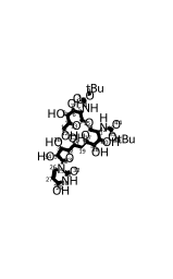 CC(C)(C)OC(=O)NC1C(O)[C@H](O)C(CO)O[C@@H]1OC1O[C@H](C[C@@H](O)[C@H]2O[C@@H](N3C=CC(O)NC3=O)[C@H](O)[C@@H]2O)C(O)C(O)[C@H]1NC(=O)OC(C)(C)C